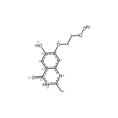 CCCOCCOc1cc2nc(C)[nH]c(=O)c2cc1O